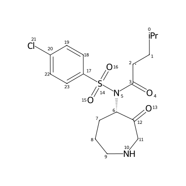 CC(C)C[CH]C(=O)N([C@H]1CCCNCC1=O)S(=O)(=O)c1ccc(Cl)cc1